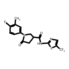 Cc1cc(N2CC(C(=O)Nc3ncc(C(F)(F)F)s3)CC2=O)ccc1F